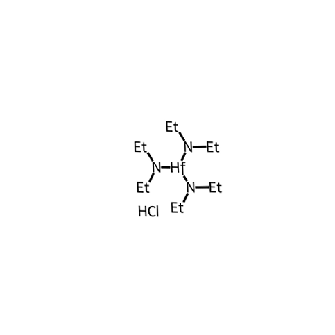 CC[N](CC)[Hf]([N](CC)CC)[N](CC)CC.Cl